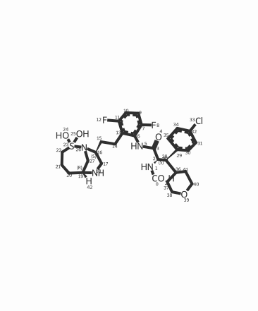 O=C(O)N[C@H](C(=O)Nc1c(F)ccc(F)c1CC[C@H]1CN[C@@H]2CCCS(O)(O)N1C2)[C@@H](c1ccc(Cl)cc1)C1CCOCC1